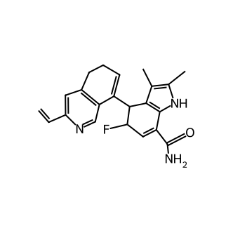 C=Cc1cc2c(cn1)C(C1c3c([nH]c(C)c3C)C(C(N)=O)=CC1F)=CCC2